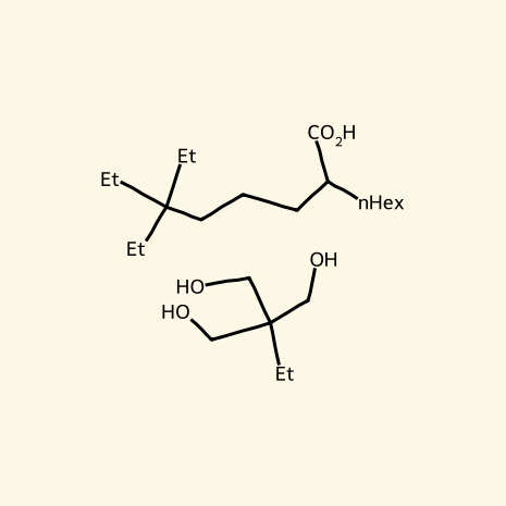 CCC(CO)(CO)CO.CCCCCCC(CCCC(CC)(CC)CC)C(=O)O